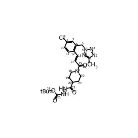 Cc1nnn(Cc2cc(Cl)ccc2C=CC(=O)N2CCC(C(=O)NNC(=O)OC(C)(C)C)CC2)n1